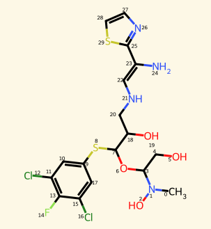 CN(O)C(CO)OC(Sc1cc(Cl)c(F)c(Cl)c1)C(O)CN/C=C(\N)c1nccs1